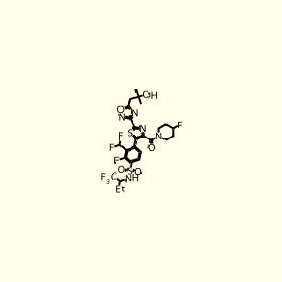 CCC(NS(=O)(=O)c1ccc(-c2sc(-c3noc(CC(C)(C)O)n3)nc2C(=O)N2CCC(F)CC2)c(C(F)F)c1F)C(F)(F)F